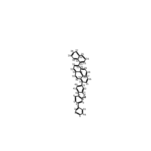 c1ccc(-c2ccc3c(c2)sc2cc(-c4ccc5ccc6c(-c7cccc8ccccc78)ccc7ccc4c5c76)ccc23)cc1